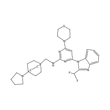 FC(F)c1nc2ccccc2n1-c1cc(N2CCOCC2)nc(NCC23CCC(N4CCCC4)(CC2)CC3)n1